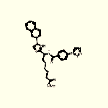 CNC(=O)CCCCCC(NC(=O)c1ccc(-n2cnnn2)cc1)c1ncc(-c2ccc3ccccc3c2)[nH]1